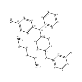 Cc1cccc(CN2CCN(C(c3ccccc3)c3ccc(Cl)cc3)CC2)c1.NCCCCN